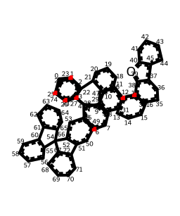 c1ccc(-c2ccccc2-c2c(-c3ccccc3)cccc2-c2ccccc2N(c2ccc(-c3cccc4c3oc3ccccc34)cc2)c2ccc3c(c2)C2(c4ccccc4-c4ccccc42)c2ccccc2-3)cc1